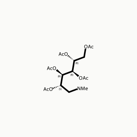 CNC[C@H](OC(C)=O)[C@@H](OC(C)=O)[C@H](OC(C)=O)[C@@H](COC(C)=O)OC(C)=O